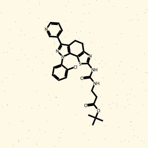 CC(C)(C)OC(=O)CCNC(=O)Nc1nc2c(s1)-c1c(c(-c3cccnc3)nn1-c1ccccc1Cl)CC2